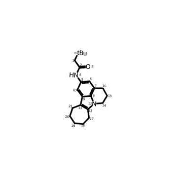 CC(C)(C)CC(=O)Nc1cc2c3c(c1)c1c(n3CCC2)CCCCC1